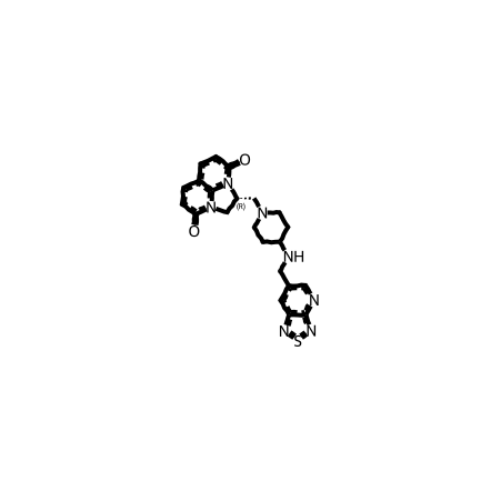 O=c1ccc2ccc(=O)n3c2n1C[C@H]3CN1CCC(NCc2cnc3nsnc3c2)CC1